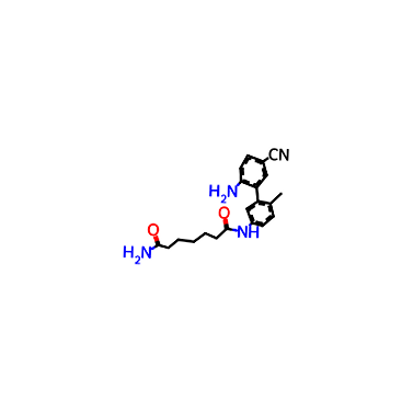 Cc1ccc(NC(=O)CCCCCC(N)=O)cc1-c1cc(C#N)ccc1N